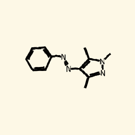 Cc1nn(C)c(C)c1N=Nc1ccccc1